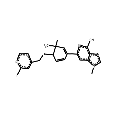 Cn1cnc2c(C#N)nc(C3=CC(C)(C(F)(F)F)C(OCc4ccnc(F)c4)C=C3)cc21